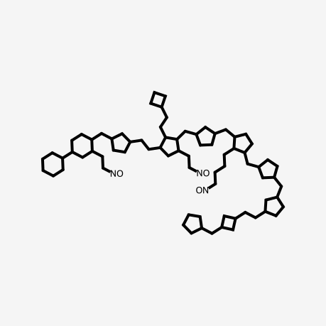 O=NCCCCC1C(CC2CCC(CC3CCC(CCC4CC(CC5CCCC5)C4)C3)C2)CCC1CC1CCC(CC2C(CCN=O)CC(CCC3CCC(CC4CCC(C5CCCCC5)CC4CCN=O)C3)C2CCC2CCC2)C1